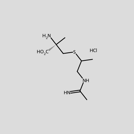 CC(=N)NCC(C)SC[C@](C)(N)C(=O)O.Cl